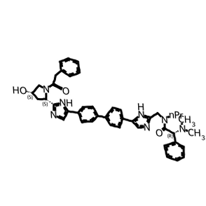 CCCN(Cc1ncc(-c2ccc(-c3ccc(-c4cnc([C@@H]5C[C@H](O)CN5C(=O)Cc5ccccc5)[nH]4)cc3)cc2)[nH]1)C(=O)[C@@H](c1ccccc1)N(C)C